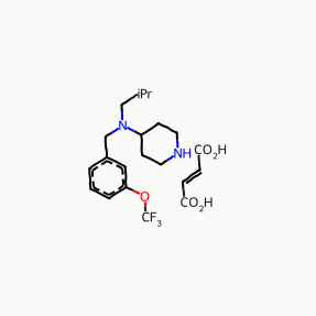 CC(C)CN(Cc1cccc(OC(F)(F)F)c1)C1CCNCC1.O=C(O)C=CC(=O)O